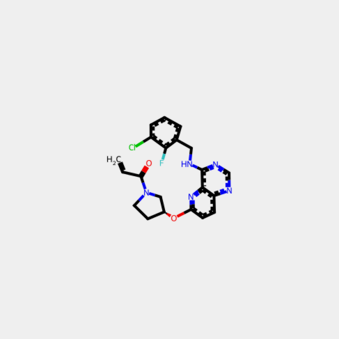 C=CC(=O)N1CC[C@H](Oc2ccc3ncnc(NCc4cccc(Cl)c4F)c3n2)C1